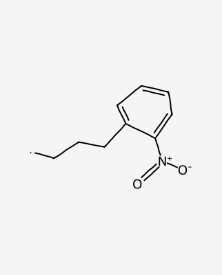 [CH2]CCCc1ccccc1[N+](=O)[O-]